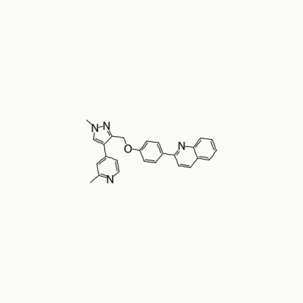 Cc1cc(-c2cn(C)nc2COc2ccc(-c3ccc4ccccc4n3)cc2)ccn1